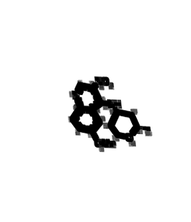 COc1ccc2ncc([N+](=O)[O-])c(N[C@H]3CCO[C@@H](C)C3)c2c1